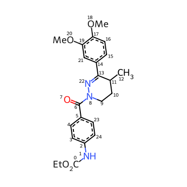 CCOC(=O)Nc1ccc(C(=O)N2CCC(C)C(c3ccc(OC)c(OC)c3)=N2)cc1